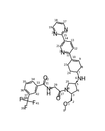 COC[C@@H]1C[C@H](NC2CC=C(c3ccc(-c4ncccn4)cn3)CC2)CN1C(=O)CNC(=O)c1cccc(C(F)(F)F)c1